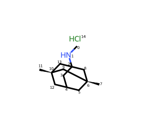 CNC12CC3C[C@@](C)(C1)C[C@](C)(C3)C2.Cl